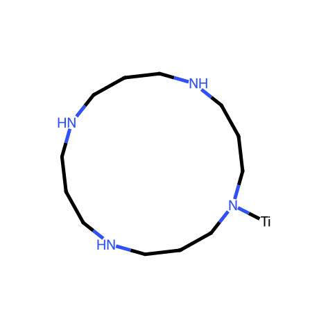 [Ti][N]1CCCNCCCNCCCNCCC1